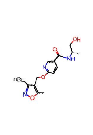 CCCCc1noc(C)c1COc1ccc(C(=O)N[C@@H](C)CO)cn1